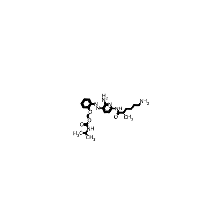 CC(C)NC(=O)OCOc1ccccc1/N=N/c1ccc(NC(=O)[C@@H](C)CCCCN)nc1N